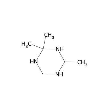 CC1NCNC(C)(C)N1